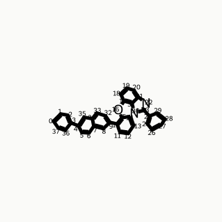 c1ccc(-c2ccc3cc(-c4cccc5c4Oc4cccc6nc(-c7ccccc7)n-5c46)ccc3c2)cc1